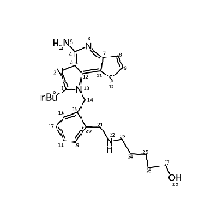 CCCCc1nc2c(N)nc3ccsc3c2n1Cc1ccccc1CNCCCCCO